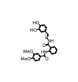 COc1ccc(C(=O)Nc2ccccc2C(=O)N/N=C/c2ccc(O)c(O)c2)cc1OC